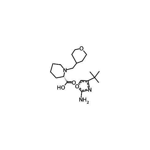 CC(C)(C)c1coc(N)n1.O=C(O)[C@@H]1CCCCN1CC1CCOCC1